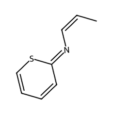 C/C=C\N=c1\ccccs1